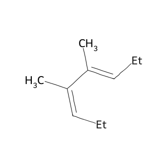 CCC=C(C)C(C)=CCC